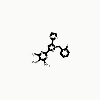 COc1c(N)nc(-c2cc(-c3ncco3)n(Cc3ccccc3F)n2)nc1N